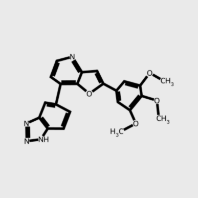 COc1cc(-c2cc3nccc(-c4ccc5[nH]nnc5c4)c3o2)cc(OC)c1OC